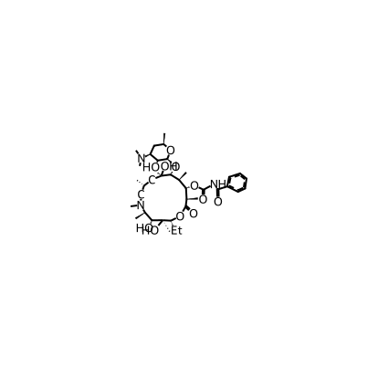 CC[C@H]1OC(=O)[C@H](C)[C@@H](OC(=O)NC(=O)c2ccccc2)[C@H](C)[C@@H](O[C@@H]2O[C@H](C)C[C@H](N(C)C)[C@H]2O)[C@](C)(O)C[C@@H](C)CN(C)[C@H](C)[C@@H](O)[C@]1(C)O